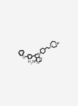 CN1CCCN(CCC2CCC(n3cc(-c4ccc(Oc5ccccc5)cc4)c4c(N)ncnc43)CC2)CC1